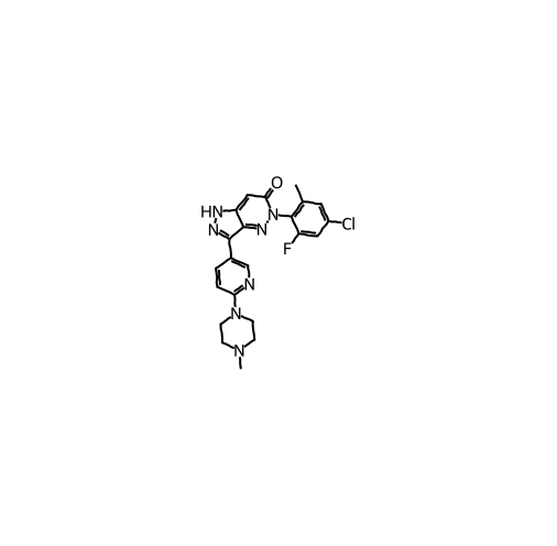 Cc1cc(Cl)cc(F)c1-n1nc2c(-c3ccc(N4CCN(C)CC4)nc3)n[nH]c2cc1=O